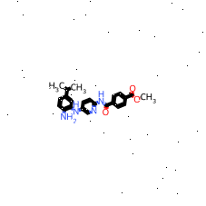 COC(=O)c1ccc(C(=O)Nc2ccc(Nc3cc(C(C)C)ccc3N)cn2)cc1